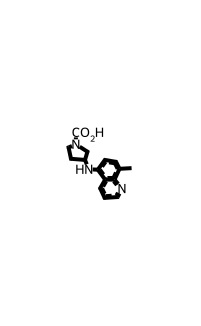 Cc1ccc(NC2CCN(C(=O)O)C2)c2cccnc12